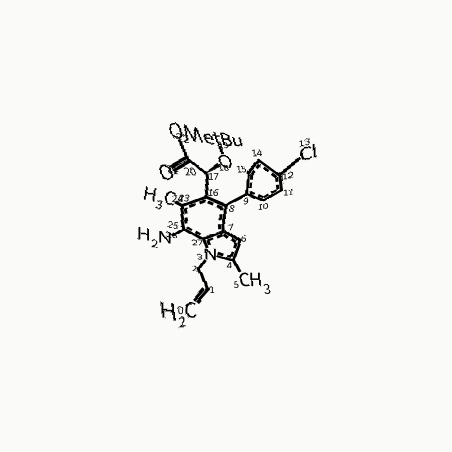 C=CCn1c(C)cc2c(-c3ccc(Cl)cc3)c([C@H](OC(C)(C)C)C(=O)OC)c(C)c(N)c21